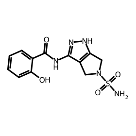 NS(=O)(=O)N1Cc2[nH]nc(NC(=O)c3ccccc3O)c2C1